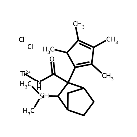 CC1=C(C)C(C)C(C2(C(=O)[NH][Ti+2])C3CCC(C3)C2[SiH](C)C)=C1C.[Cl-].[Cl-]